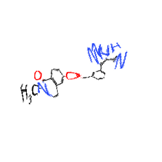 CN1CCc2cc(OCc3cccc(-c4nn[nH]c4C#N)c3)ccc2C1=O